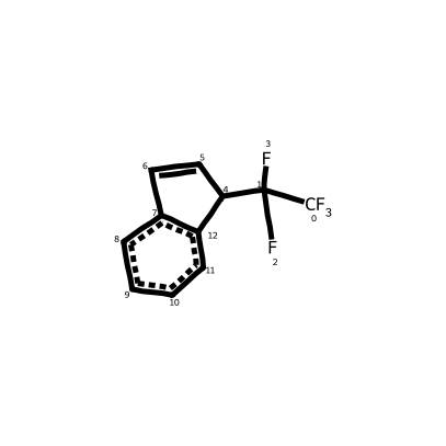 FC(F)(F)C(F)(F)[C]1C=Cc2ccccc21